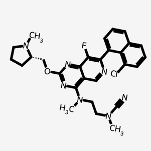 CN(C#N)CCN(C)c1nc(OC[C@@H]2CCCN2C)nc2c(F)c(-c3cccc4cccc(Cl)c34)ncc12